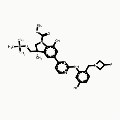 CC(C)(C)OC(=O)N1C[C@](C)(CO[Si](C)(C)C(C)(C)C)c2cc(-c3ccnc(Nc4cc(C#N)ccc4CN4CC(F)C4)n3)cc(C#N)c21